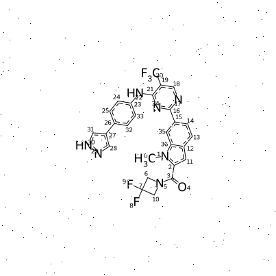 Cn1c(C(=O)N2CC(F)(F)C2)cc2ccc(-c3ncc(C(F)(F)F)c(Nc4ccc(-c5cn[nH]c5)cc4)n3)cc21